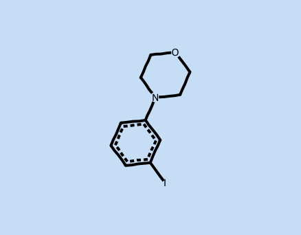 Ic1cccc(N2CCOCC2)c1